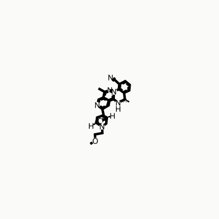 COCCN1C[C@H]2CC[C@@H]1CN2c1cc2c(N[C@H](C)c3cccc(C#N)c3C)nnc(C)c2cn1